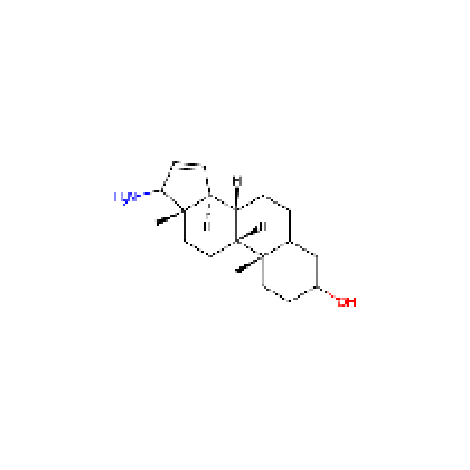 C[C@]12CCC(O)=CC1CC[C@@H]1[C@H]2CC[C@]2(C)C(N)C=C[C@@H]12